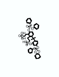 CC(C)(c1ccc(OP(=O)(Oc2ccccc2)Oc2ccccc2)cc1)c1ccc(OP(=O)(Oc2ccccc2)Oc2ccccc2)c(CCP(=O)(O)O)c1CCP(=O)(O)O